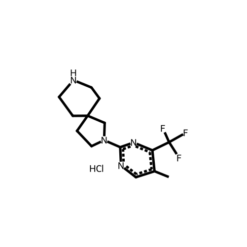 Cc1cnc(N2CCC3(CCNCC3)C2)nc1C(F)(F)F.Cl